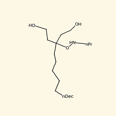 CCCCCCCCCCCCCCCC(CCO)(CCO)ONCCC